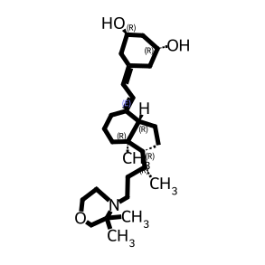 C[C@H](CCN1CCOCC1(C)C)[C@H]1CC[C@H]2/C(=C/C=C3C[C@@H](O)C[C@H](O)C3)CCC[C@]12C